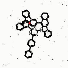 c1ccc(-c2ccc(-c3nc(-c4ccccc4)nc(-n4c5ccccc5c5cc6ccccc6c(-c6ccc7c(c6)c6ccccc6n7-c6ccccc6)c54)n3)cc2)cc1